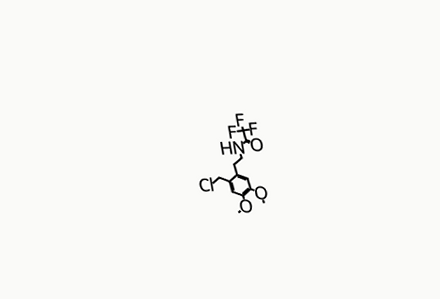 COc1cc(CCl)c(CCNC(=O)C(F)(F)F)cc1OC